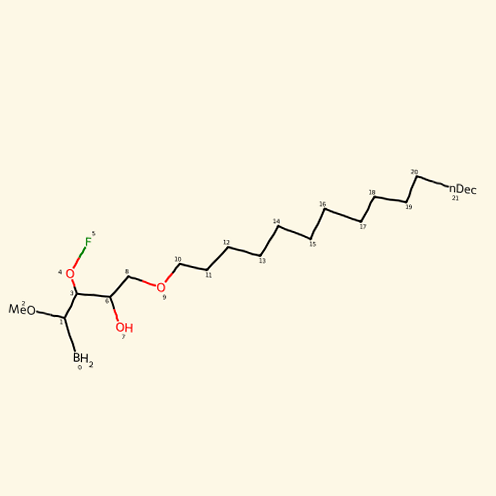 BC(OC)C(OF)C(O)COCCCCCCCCCCCCCCCCCCCCC